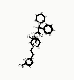 C[C@@](C(=O)O[C@H]1C[N+]2(CCc3ccc(Cl)s3)CCC1CC2)(c1ccccc1)N1CCCCC1